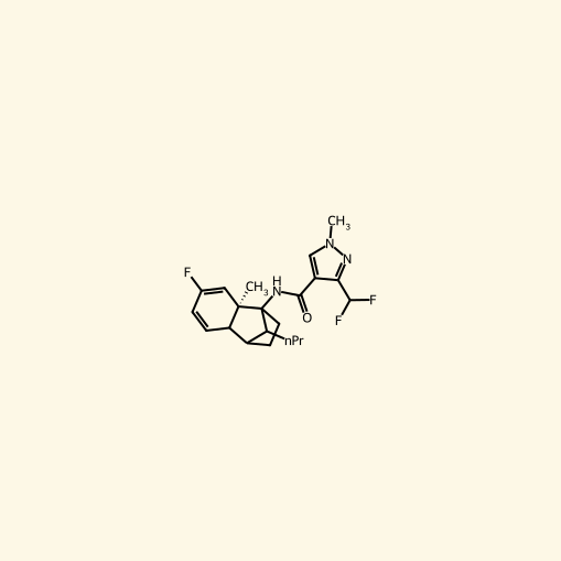 CCCC1C2CCC1(NC(=O)c1cn(C)nc1C(F)F)[C@]1(C)C=C(F)C=CC21